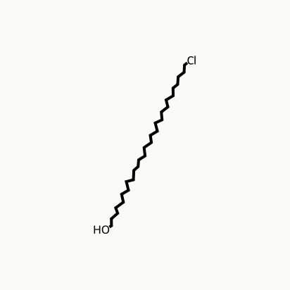 OCCCCCCCCCCCCCCCCCCCCCCCCCCCCCl